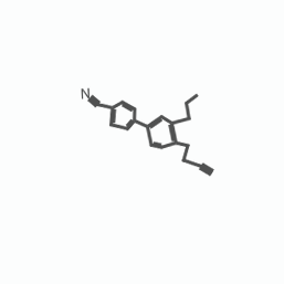 C#CCCc1ccc(-c2ccc(C#N)cc2)cc1CCC